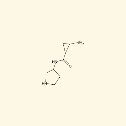 BC1CC1C(=O)NC1CCNC1